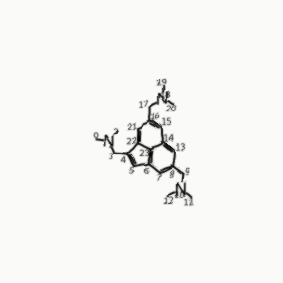 CN(C)CC1=Cc2cc(CN(C)C)cc3cc(CN(C)C)cc1c23